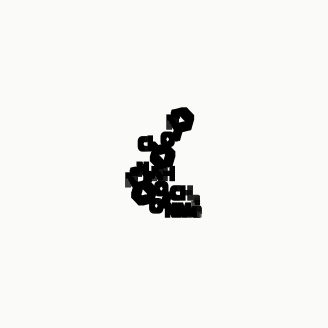 CNC(=O)[C@@H](C)Oc1cccc2ncnc(Nc3ccc(OCc4ccccn4)c(Cl)c3)c12